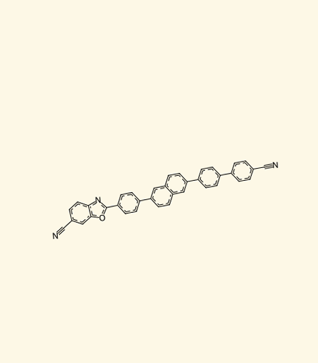 N#Cc1ccc(-c2ccc(-c3ccc4cc(-c5ccc(-c6nc7ccc(C#N)cc7o6)cc5)ccc4c3)cc2)cc1